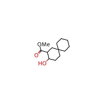 COC(=O)C1CC2(CCCCC2)CCC1O